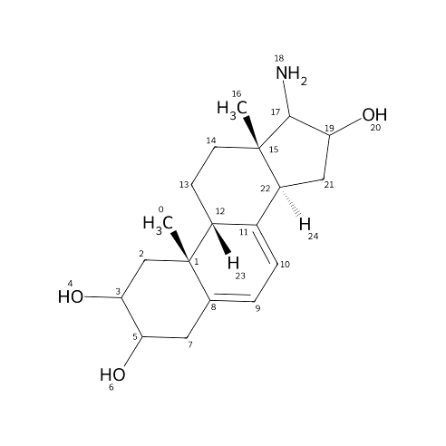 C[C@]12CC(O)C(O)CC1=CC=C1[C@H]2CC[C@]2(C)C(N)C(O)C[C@@H]12